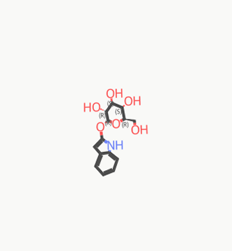 OC[C@H]1O[C@H](Oc2cc3ccccc3[nH]2)[C@H](O)[C@@H](O)[C@@H]1O